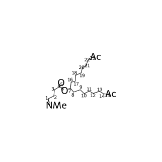 CNCCCC(=O)OC(CCCCCCCC(C)=O)CCCCCCCC(C)=O